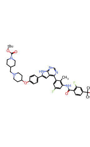 Cc1c(NC(=O)c2ccc(C(C)(C)O)cc2F)cc(F)cc1-c1ncnc2[nH]c(-c3ccc(OC4CCN(CC5CCN(C(=O)OC(C)(C)C)CC5)CC4)cc3)cc12